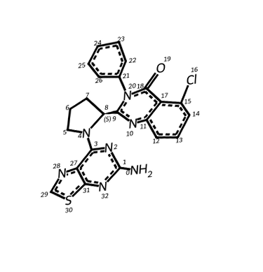 Nc1nc(N2CCC[C@H]2c2nc3cccc(Cl)c3c(=O)n2-c2ccccc2)c2ncsc2n1